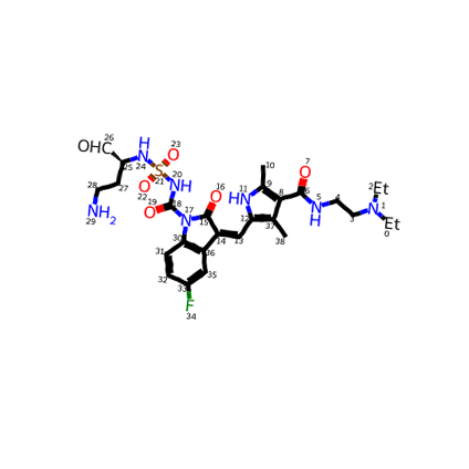 CCN(CC)CCNC(=O)c1c(C)[nH]c(/C=C2\C(=O)N(C(=O)NS(=O)(=O)N[C@H](C=O)CCN)c3ccc(F)cc32)c1C